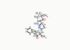 CC(C)(C)C(=O)c1c[nH]c2nc(CC(C)(C)C(=O)C(F)(F)c3ccccc3)ccc12